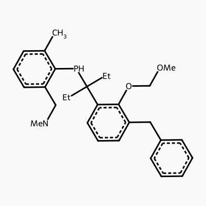 CCC(CC)(Pc1c(C)cccc1CNC)c1cccc(Cc2ccccc2)c1OCOC